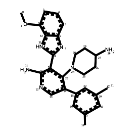 COc1cccc2nc(-c3c(N)ncc(-c4cc(C)cc(F)c4)c3N3CCC(N)CC3)[nH]c12